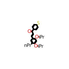 CCCc1cc(/C=C/C(=O)C2C=CC(=S)C=C2)c(OC(C)C)cc1OC(C)C